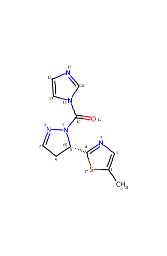 Cc1cnc([C@@H]2CC=NN2C(=O)n2ccnc2)s1